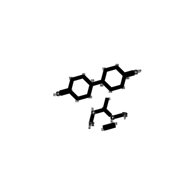 C=C.CCOC(C)OCC.O=C1CCC(C2CCC(=O)CC2)CC1